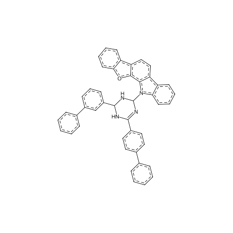 c1ccc(-c2ccc(C3=NC(n4c5ccccc5c5ccc6c7ccccc7oc6c54)NC(c4cccc(-c5ccccc5)c4)N3)cc2)cc1